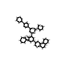 c1ccc(-c2ccc(-c3cc(-c4cc(-c5cnc6ccc7ccccc7c6c5)cc5c4oc4ccccc45)nc(-c4ccccc4)n3)cc2)cc1